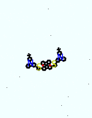 CC(C)(C)c1ccc(-n2c3ccccc3c3cc(-c4ccc(-c5ccc6c(c5)C5(c7ccccc7-c7ccccc75)c5cc(-c7ccc(-c8ccc9c(c8)c8ccccc8n9-c8ccc(C(C)(C)C)cc8)s7)ccc5-6)s4)ccc32)cc1